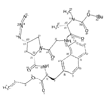 C=CCOC(=O)[C@H](Cc1ccc2ccccc2c1)NC(=O)[C@@H]1C[C@H](N=[N+]=[N-])CN1C(=O)CNC(=O)[C@H](C)N(C)C(=O)OC(C)(C)C